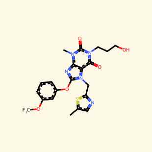 Cc1cnc(Cn2c(Oc3cccc(OC(F)(F)F)c3)nc3c2c(=O)n(CCCO)c(=O)n3C)s1